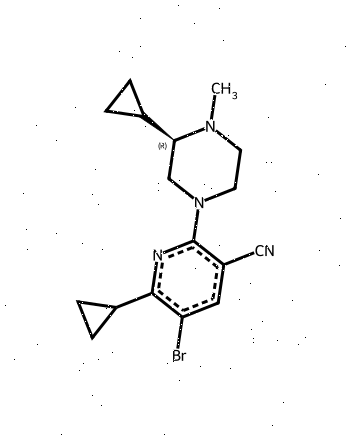 CN1CCN(c2nc(C3CC3)c(Br)cc2C#N)C[C@H]1C1CC1